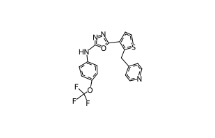 FC(F)(F)Oc1ccc(Nc2nnc(-c3ccsc3Cc3ccncc3)o2)cc1